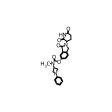 CN(C(=O)Oc1ccc2c(c1)C(=O)N(C1CCC(=O)NC1=O)C2)C1CN(c2ccccc2)C1